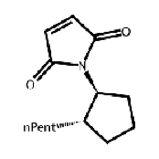 CCCCC[C@H]1CCC[C@@H]1N1C(=O)C=CC1=O